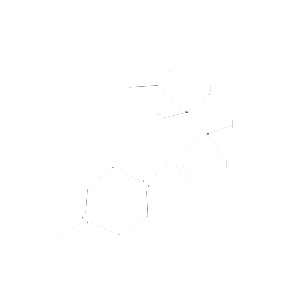 CN1CCN(S(=O)(=O)C(F)(F)C(F)(F)C(F)F)CC1